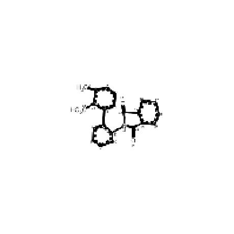 Cc1cccc(-c2ccccc2N2C(=O)c3ccccc3C2=O)c1C(=O)O